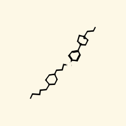 CCCCCC1CCC(CCCOc2ccc(C34CCC(CCC)(CC3)CC4)cc2)CC1